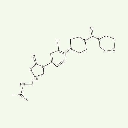 CC(=S)NC[C@H]1CN(c2ccc(N3CCN(C(=O)N4CCOCC4)CC3)c(F)c2)C(=O)O1